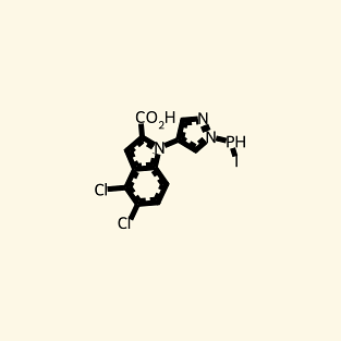 O=C(O)c1cc2c(Cl)c(Cl)ccc2n1-c1cnn(PI)c1